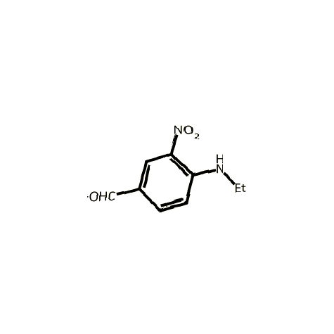 CCNc1ccc([C]=O)cc1[N+](=O)[O-]